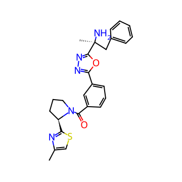 Cc1csc([C@H]2CCCN2C(=O)c2cccc(-c3nnc([C@@](C)(N)Cc4ccccc4)o3)c2)n1